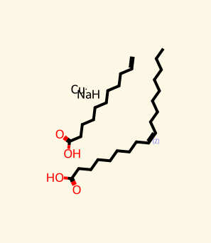 C=CCCCCCCCCC(=O)O.CCCCCCCC/C=C\CCCCCCCC(=O)O.[Cu].[NaH]